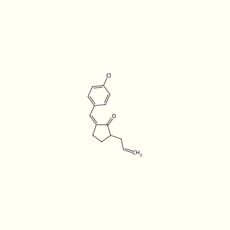 C=CCC1CC/C(=C/c2ccc(Cl)cc2)C1=O